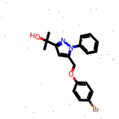 CC(C)(O)c1cc(COc2ccc(Br)cc2)n(-c2ccccc2)n1